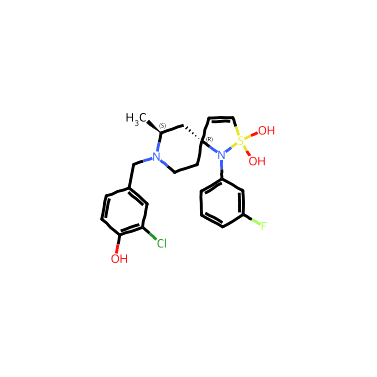 C[C@H]1C[C@@]2(C=CS(O)(O)N2c2cccc(F)c2)CCN1Cc1ccc(O)c(Cl)c1